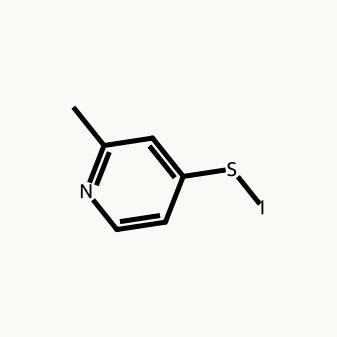 Cc1cc(SI)ccn1